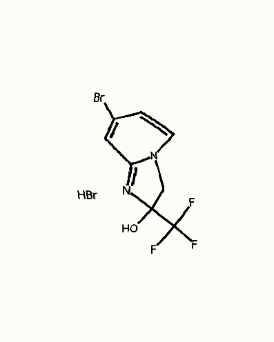 Br.OC1(C(F)(F)F)CN2C=CC(Br)=CC2=N1